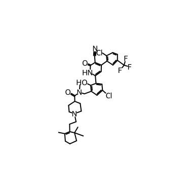 CC1=C(CCN2CCC(C(=O)N(C)Cc3cc(Cl)cc(-c4cc(-c5cc(C(F)(F)F)ccc5Cl)c(C#N)c(=O)[nH]4)c3O)CC2)C(C)(C)CCC1